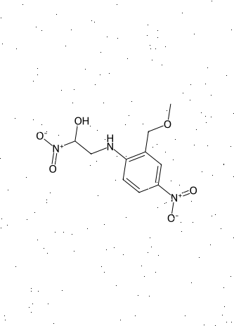 COCc1cc([N+](=O)[O-])ccc1NCC(O)[N+](=O)[O-]